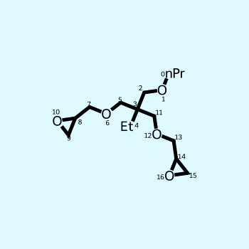 CCCOCC(CC)(COCC1CO1)COCC1CO1